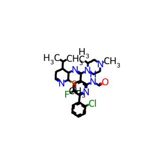 CSC1N=CCC(C(C)C)C1/N=C(\c1cc(F)c(-c2ccccc2Cl)nc1NC=O)N1CCN(C)CC1C